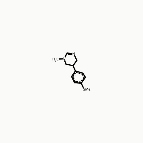 CSc1ccc(C2CN=CN(C)C2)cc1